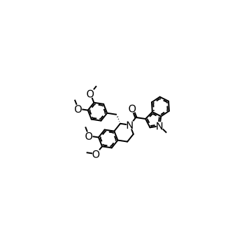 COc1ccc(C[C@H]2c3cc(OC)c(OC)cc3CCN2C(=O)c2cn(C)c3ccccc23)cc1OC